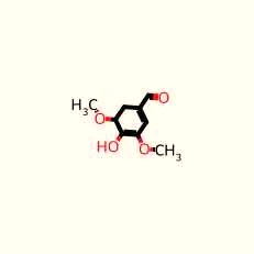 COC1=C(O)C(OC)CC(C=O)=C1